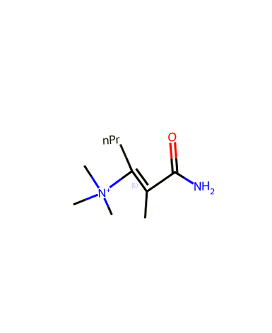 CCC/C(=C(/C)C(N)=O)[N+](C)(C)C